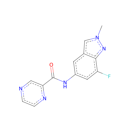 Cn1cc2cc(NC(=O)c3cnccn3)cc(F)c2n1